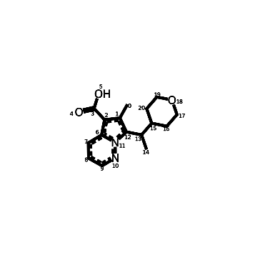 Cc1c(C(=O)O)c2cccnn2c1C(C)C1CCOCC1